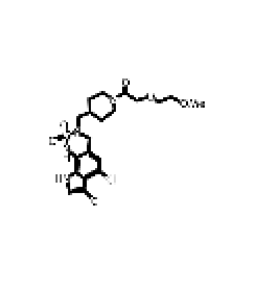 COCCOCC(=O)N1CCC(CN2Cc3cc(Cl)c4c(Cl)c[nH]c4c3NS2(=O)=O)CC1